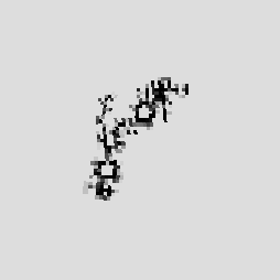 C=CCCC1N=C(c2ccc(C(F)(F)F)cc2)SC1COc1ccc(-c2noc(=O)[nH]2)c(Cl)c1